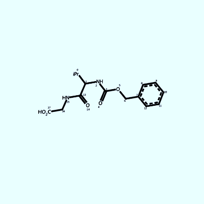 CC(C)C(NC(=O)OCc1ccccc1)C(=O)NCC(=O)O